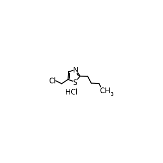 CCCCc1ncc(CCl)s1.Cl